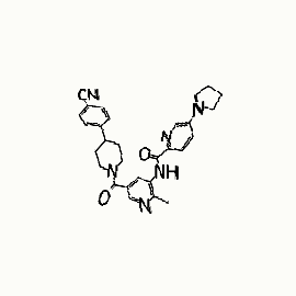 Cc1ncc(C(=O)N2CCC(c3ccc(C#N)cc3)CC2)cc1NC(=O)c1ccc(N2CCCC2)cn1